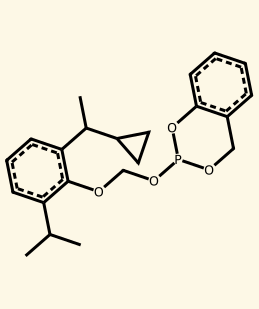 CC(C)c1cccc(C(C)C2CC2)c1OCOP1OCc2ccccc2O1